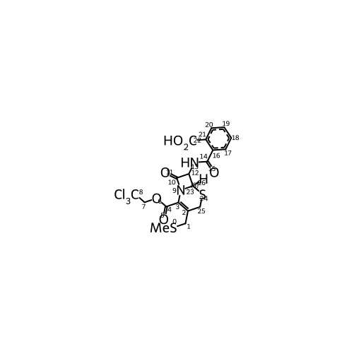 CSCC1=C(C(=O)OCC(Cl)(Cl)Cl)N2C(=O)C(NC(=O)c3ccccc3C(=O)O)[C@@H]2SC1